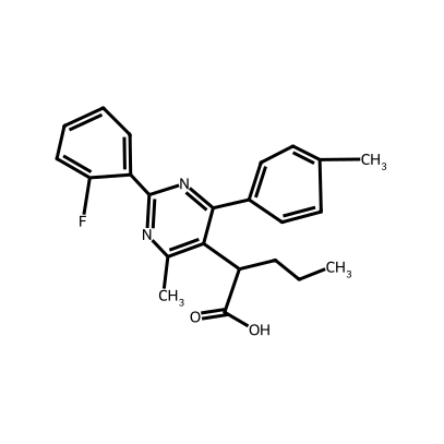 CCCC(C(=O)O)c1c(C)nc(-c2ccccc2F)nc1-c1ccc(C)cc1